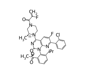 C=C(F)C(=O)N1CCN(c2nc(=O)n(-c3c(C(C)C)cccc3S(C)(=O)=O)c3nc(-c4ccccc4Cl)c(F)cc23)[C@@H](C)C1